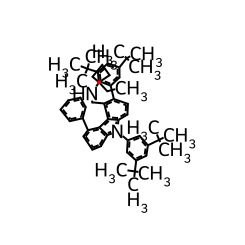 CCC1(NCc2c(-c3cc(C(C)(C)C)cc(C(C)(C)C)c3)ccc3c2c2c(-c4ccccc4)cccc2n3-c2cc(C(C)(C)C)cc(C(C)(C)C)c2)CCC1